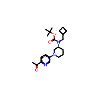 CC(=O)c1ccc(N2CCC[C@@H](N(CC3CCC3)C(=O)OC(C)(C)C)C2)cn1